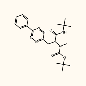 CN(C(=O)OC(C)(C)C)C(Cc1nnc(-c2ccccc2)nn1)C(=O)NC(C)(C)C